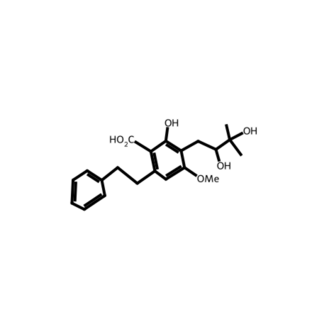 COc1cc(CCc2ccccc2)c(C(=O)O)c(O)c1CC(O)C(C)(C)O